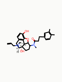 C=CCN1CC[C@]23c4c5ccc(O)c4OC2C(N(C)C(=O)CCc2ccc(C)c(C)c2)CC[C@@]3(O)[C@H]1C5